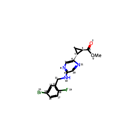 COC(=O)[C@@H]1C[C@H]1c1cnc(NCc2cc(Br)ccc2F)cn1